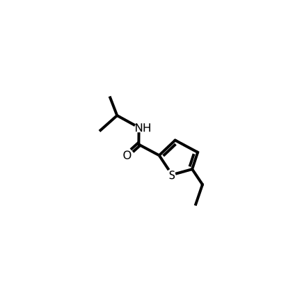 CCc1ccc(C(=O)NC(C)C)s1